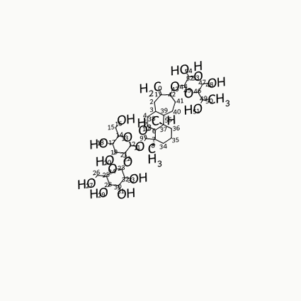 C=C1CC2CCC3[C@](C)(C(=O)OC4OC(CO)C(O)C(O)C4OC4OC(CO)C(O)C(O)C4O)CCC[C@@]3(C)[C@@H]2CCC1OC(OC(CO)C(C)O)C(O)O